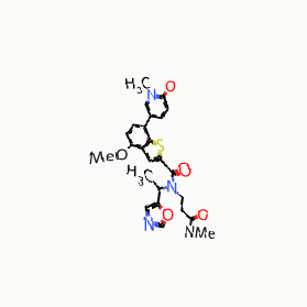 CNC(=O)CCN(C(=O)c1cc2c(OC)ccc(-c3ccc(=O)n(C)c3)c2s1)C(C)c1cnco1